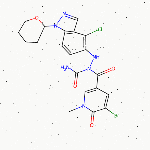 Cn1cc(C(=O)N(Nc2ccc3c(cnn3C3CCCCO3)c2Cl)C(N)=O)cc(Br)c1=O